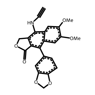 C#CNc1c2c(c(-c3ccc4c(c3)OCO4)c3cc(OC)c(OC)cc13)C(=O)OC2